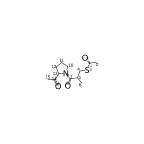 CC(=O)SCC(C)C(=O)N1CCCC1C(C)=O